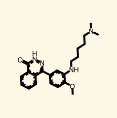 COc1ccc(-c2n[nH]c(=O)c3ccccc23)cc1NCCCCCN(C)C